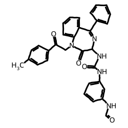 Cc1ccc(C(=O)CN2C(=O)C(NC(=O)Nc3cccc(NC=O)c3)N=C(c3ccccc3)c3ccccc32)cc1